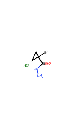 CCC1(C(=O)NN)CC1.Cl